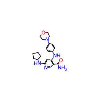 NC(=O)c1cnc(NC2CCCC2)cc1Nc1ccc(N2CCOCC2)cc1